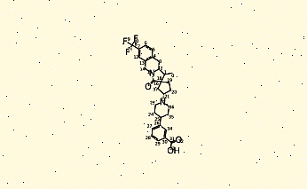 CC1C2Cc3ccc(C(F)(F)F)cc3CN2C(=O)[C@]12CC[C@H](N1CCC(c3cccc(C(=O)O)c3)CC1)C2